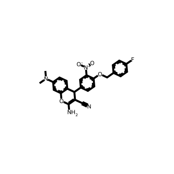 CN(C)c1ccc2c(c1)OC(N)=C(C#N)C2c1ccc(OCc2ccc(F)cc2)c([N+](=O)[O-])c1